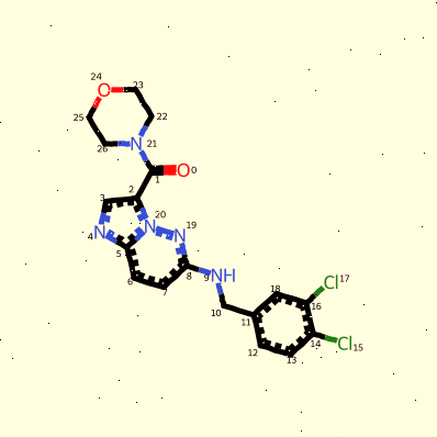 O=C(c1cnc2ccc(NCc3ccc(Cl)c(Cl)c3)nn12)N1CCOCC1